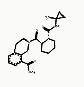 COC(=O)c1cccc2c1CN(C(=O)[C@@H]1CCCC[C@H]1C(=O)NC1(N)CC1)CC2